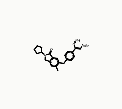 CN/C=C(\N=N)c1ccc(Cc2cc3c(cc2C)CN(C2CCCC2)C3=O)cc1